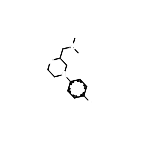 CN(C)CC1CN(c2ccc(Br)cc2)CCO1